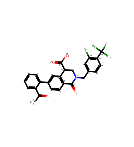 CC(=O)c1ccccc1-c1ccc2c(c1)C(C(=O)O)CN(Cc1ccc(C(F)(F)F)c(F)c1)C2=O